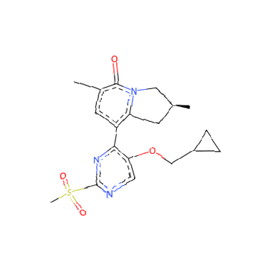 Cc1cc(-c2nc(S(C)(=O)=O)ncc2OCC2CC2)c2n(c1=O)C[C@@H](C)C2